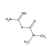 CN(C)C(=O)SC(=N)N